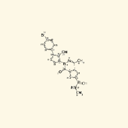 CC=NN(C(=O)c1ccc(C(=O)NC)s1)c1csc(-c2ccc(Br)cc2)c1O